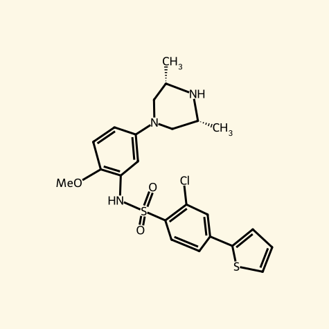 COc1ccc(N2C[C@@H](C)N[C@@H](C)C2)cc1NS(=O)(=O)c1ccc(-c2cccs2)cc1Cl